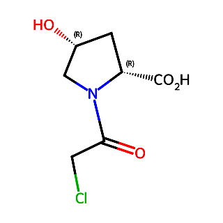 O=C(O)[C@H]1C[C@@H](O)CN1C(=O)CCl